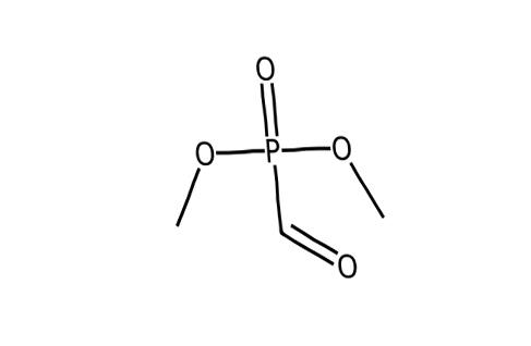 COP(=O)(C=O)OC